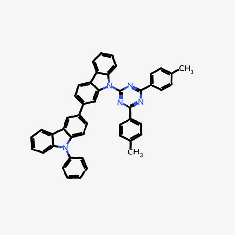 Cc1ccc(-c2nc(-c3ccc(C)cc3)nc(-n3c4ccccc4c4ccc(-c5ccc6c(c5)c5ccccc5n6-c5ccccc5)cc43)n2)cc1